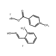 CCCCOC(=O)c1cc[n+](C)cc1.C[n+]1ccccc1C=NO.[I-].[I-]